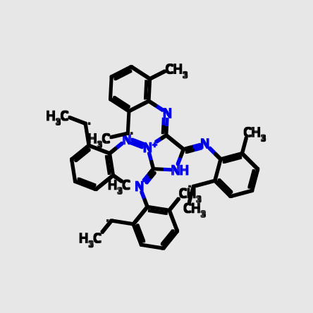 C[CH]c1cccc(C)c1N=C1NC(=Nc2c(C)cccc2[CH]C)[N+](=Nc2c(C)cccc2[CH]C)C1=Nc1c(C)cccc1[CH]C